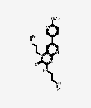 CCCOCCn1c(=O)c(NCCNC(C)C)nc2ncc(-c3ccc(OC)nc3)cc21